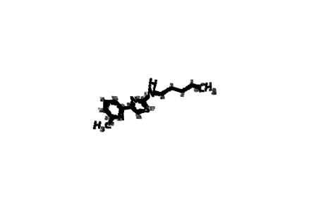 CCCCCNc1nc(-c2cccc(C)n2)cs1